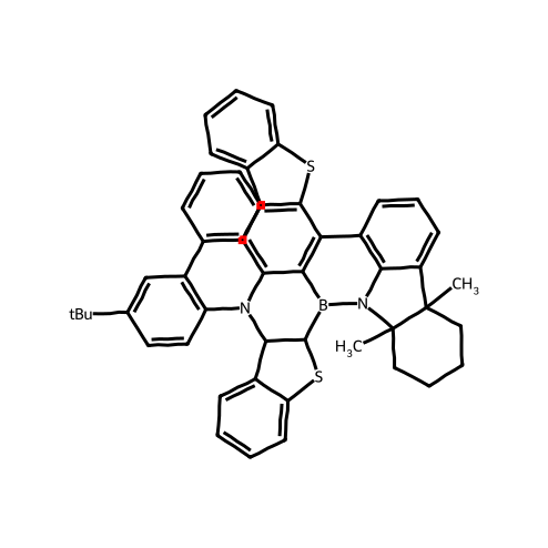 CC(C)(C)c1ccc(N2c3cc4c(sc5ccccc54)c4c3B(C3Sc5ccccc5C32)N2c3c-4cccc3C3(C)CCCCC23C)c(-c2ccccc2)c1